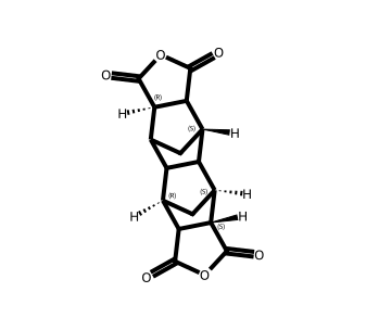 O=C1OC(=O)[C@@H]2C3C[C@H](C12)C1C3[C@H]2C[C@@H]1[C@@H]1C(=O)OC(=O)C21